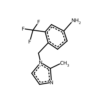 Cc1nccn1Cc1ccc(N)cc1C(F)(F)F